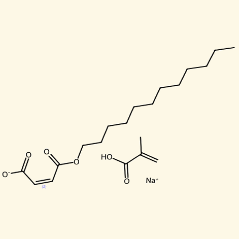 C=C(C)C(=O)O.CCCCCCCCCCCCOC(=O)/C=C\C(=O)[O-].[Na+]